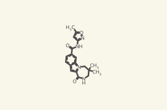 Cc1cc(NC(=O)c2ccc3cc4n(c3c2)CC(C)(C)CNC4=O)no1